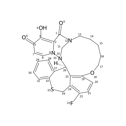 O=C1c2c(O)c(=O)ccn2N2CN1CCCCCOc1ccc(F)c3c1[C@H]2c1ccccc1SC3